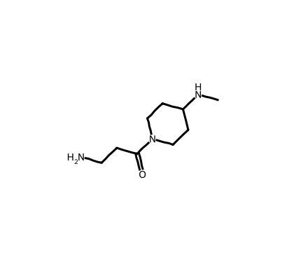 CNC1CCN(C(=O)CCN)CC1